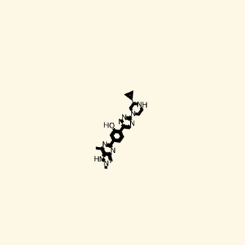 Cc1nc(-c2ccc(-c3cnc(N4CCN[C@@H](C5CC5)C4)nn3)c(O)c2)nc2c[n+](C)[nH]c12